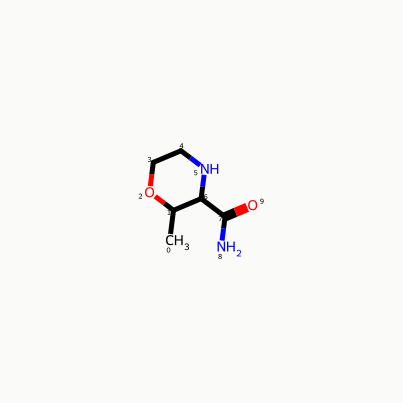 CC1OCCNC1C(N)=O